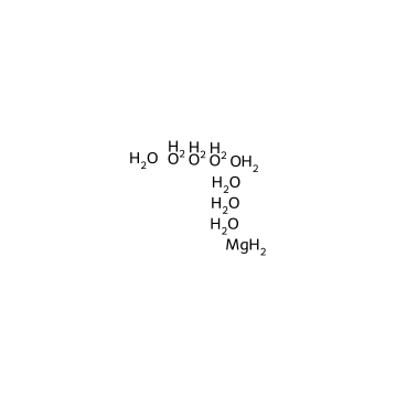 O.O.O.O.O.O.O.O.[MgH2]